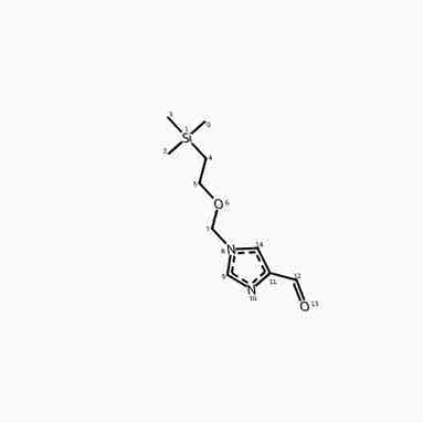 C[Si](C)(C)CCOCn1cnc(C=O)c1